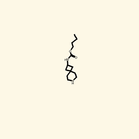 CCCCOC(=O)NC1CC2(CCNCC2)C1